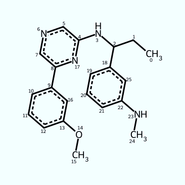 CCC(Nc1cncc(-c2cccc(OC)c2)n1)c1cccc(NC)c1